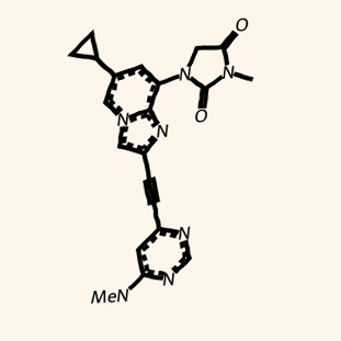 CNc1cc(C#Cc2cn3cc(C4CC4)cc(N4CC(=O)N(C)C4=O)c3n2)ncn1